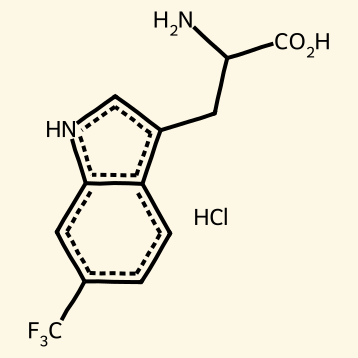 Cl.NC(Cc1c[nH]c2cc(C(F)(F)F)ccc12)C(=O)O